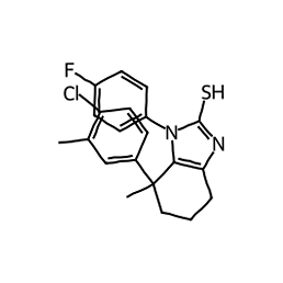 Cc1cc(C2(C)CCCc3nc(S)n(-c4ccc(F)cc4)c32)ccc1Cl